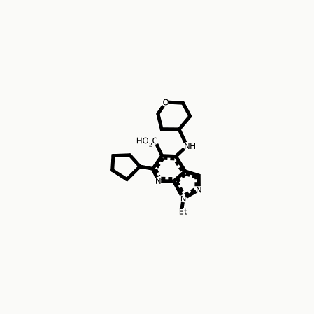 CCn1ncc2c(NC3CCOCC3)c(C(=O)O)c(C3CCCC3)nc21